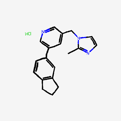 Cc1nccn1Cc1cncc(-c2ccc3c(c2)CCC3)c1.Cl